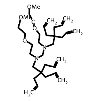 C=CCC(CC=C)(CC=C)CN(CCOCCOC)CN(CCOCCOC)CC(CC=C)(CC=C)CC=C